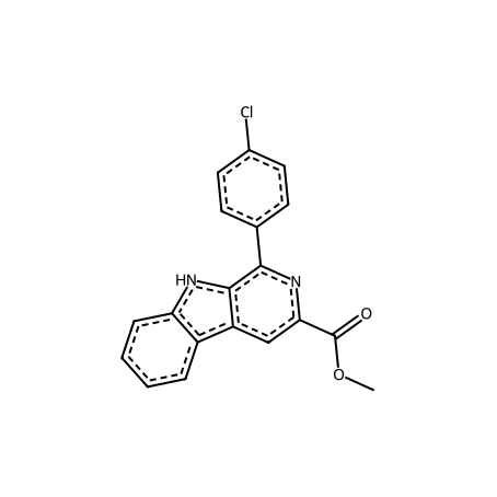 COC(=O)c1cc2c([nH]c3ccccc32)c(-c2ccc(Cl)cc2)n1